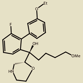 CCOc1cccc(-c2c(F)cccc2[C@](O)(CCCCOC)[C@H]2CNCCO2)c1